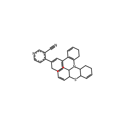 N#Cc1cnccc1C1=CC(C2=C(N3C4C=CC=CC4SC4C=CCCC43)CCC=C2)=CCC1